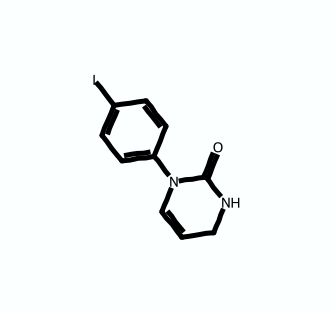 O=C1NCC=CN1c1ccc(I)cc1